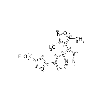 CCOC(=O)c1coc(-c2ccn3ncc(-c4c(C)noc4C)c3c2)c1